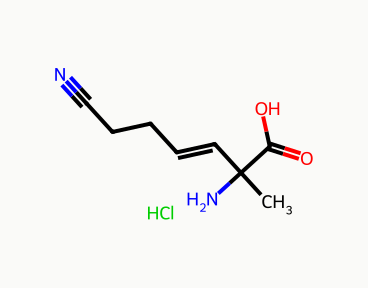 CC(N)(C=CCCC#N)C(=O)O.Cl